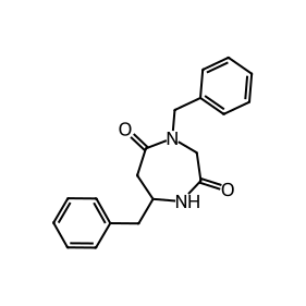 O=C1CN(Cc2ccccc2)C(=O)CC(Cc2ccccc2)N1